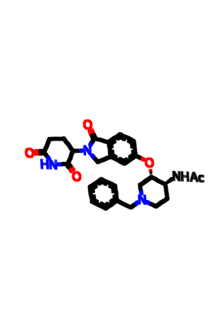 CC(=O)N[C@H]1CCN(Cc2ccccc2)C[C@@H]1Oc1ccc2c(c1)CN(C1CCC(=O)NC1=O)C2=O